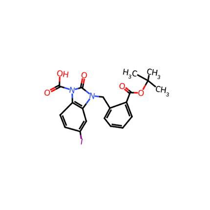 CC(C)(C)OC(=O)c1ccccc1Cn1c(=O)n(C(=O)O)c2ccc(I)cc21